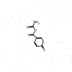 NC(=O)OC(=S)C1=CCC(=S)C=C1